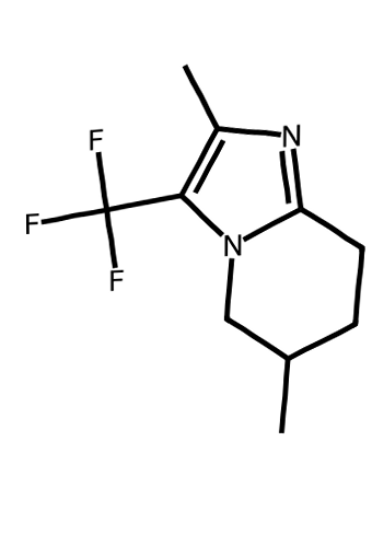 Cc1nc2n(c1C(F)(F)F)CC(C)CC2